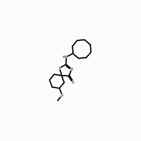 COC1CCCC2(C1)SC(NC1CCCCCCC1)=NC2=O